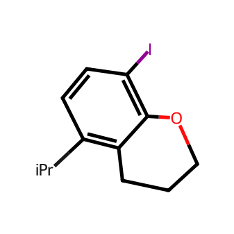 CC(C)c1ccc(I)c2c1CCCO2